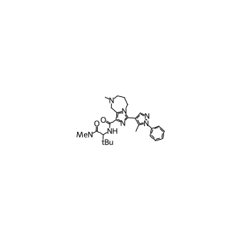 CNC(=O)C(NC(=O)c1nc(-c2cnn(-c3ccccc3)c2C)n2c1CN(C)CCC2)C(C)(C)C